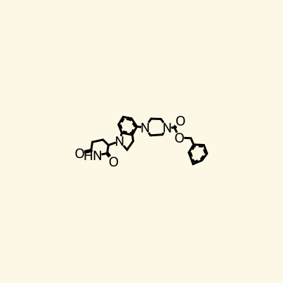 O=C1CCC(N2CCc3c(N4CCN(C(=O)OCc5ccccc5)CC4)cccc32)C(=O)N1